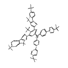 CC(C)(C)c1ccc(-c2ccc(N(c3ccc(-c4ccc(C(C)(C)C)cc4)cc3)c3cc(-c4ccc5c(c4)C(C)(C)c4cc(C(C)(C)C)ccc4-5)c(C(C)(C)C)c(-c4ccc5c(c4)C(C)(C)c4cc(C(C)(C)C)ccc4-5)c3)cc2)cc1